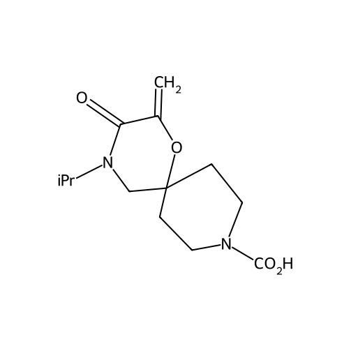 C=C1OC2(CCN(C(=O)O)CC2)CN(C(C)C)C1=O